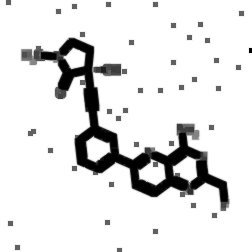 CN1CC[C@@](O)(C#Cc2cccc(-c3ccc4nc(CF)nc(N)c4n3)c2)C1=O